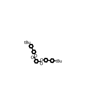 CC(C)(C)c1ccc(-c2ccc(OC(=O)c3cccc(C(=O)Oc4ccc(-c5ccc(C(C)(C)C)cc5)cc4)c3)cc2)cc1